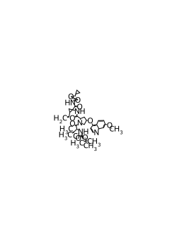 C=CC1CC1(NC(=O)C1CC(Oc2ccnc3cc(OC)ccc23)CN1C(=O)C(NC(=O)OC(C)(C)C)C(C)(C)C)C(=O)NS(=O)(=O)C1CC1